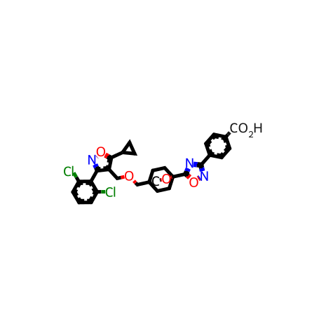 O=C(O)c1ccc(-c2noc(C34CCC(COCc5c(-c6c(Cl)cccc6Cl)noc5C5CC5)(CC3)CO4)n2)cc1